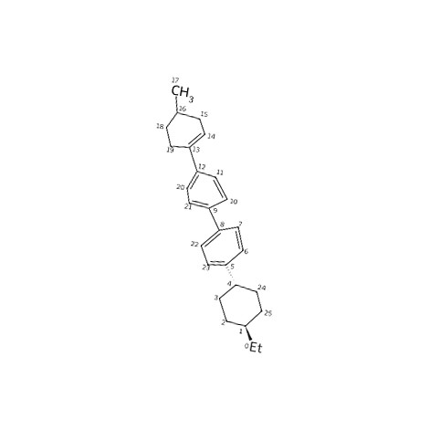 CC[C@H]1CC[C@H](c2ccc(-c3ccc(C4=CCC(C)CC4)cc3)cc2)CC1